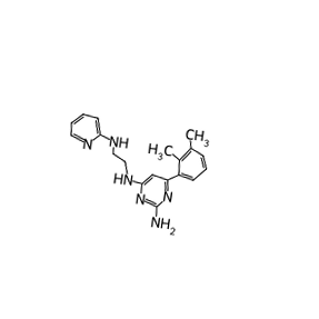 Cc1cccc(-c2cc(NCCNc3ccccn3)nc(N)n2)c1C